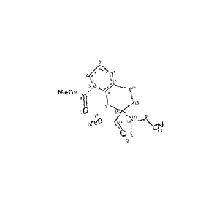 COC(=O)c1cccc2c1CC(C(=O)OC)([C@@H](C)CC#N)CC2